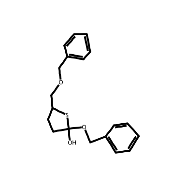 OC1(OCc2ccccc2)CCC(COCc2ccccc2)S1